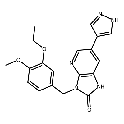 CCOc1cc(Cn2c(=O)[nH]c3cc(-c4cn[nH]c4)cnc32)ccc1OC